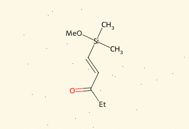 CCC(=O)C=C[Si](C)(C)OC